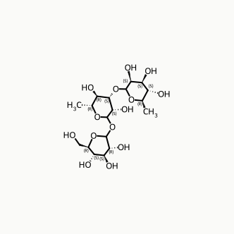 C[C@H]1OC(O[C@H]2[C@H](O)[C@@H](C)OC(OC3O[C@H](CO)[C@@H](O)[C@H](O)[C@H]3O)[C@H]2O)[C@@H](O)[C@@H](O)[C@@H]1O